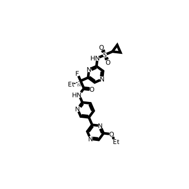 CCOc1cncc(-c2ccc(NC(=O)[C@](F)(CC)c3cncc(NS(=O)(=O)C4CC4)n3)nc2)n1